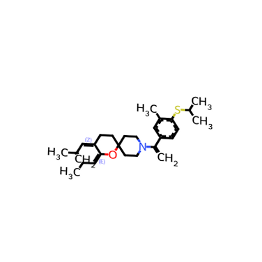 C=C(C)/C=C1/CCC2(CCN(C(=C)c3ccc(SC(C)C)c(C)c3)CC2)O/C1=C/CC